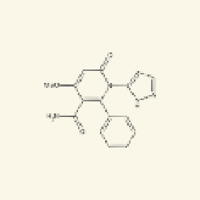 COc1cc(=O)n(-c2ccn[nH]2)c(-c2ccccc2)c1C(N)=O